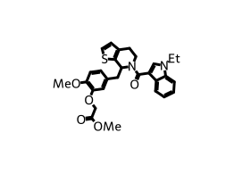 CCn1cc(C(=O)N2CCc3ccsc3C2Cc2ccc(OC)c(OCC(=O)OC)c2)c2ccccc21